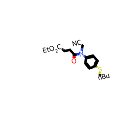 CCCCSc1ccc(N(CC#N)C(=O)CCC(=O)OCC)cc1